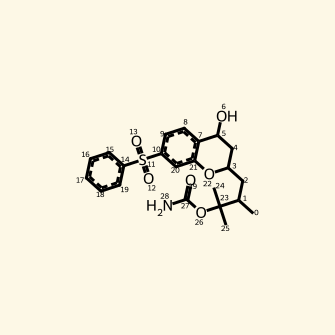 CC(CC1CC(O)c2ccc(S(=O)(=O)c3ccccc3)cc2O1)C(C)(C)OC(N)=O